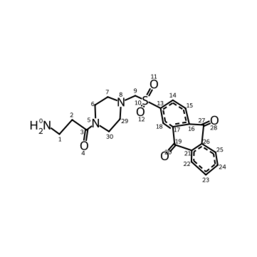 NCCC(=O)N1CCN(CS(=O)(=O)c2ccc3c(c2)C(=O)c2ccccc2C3=O)CC1